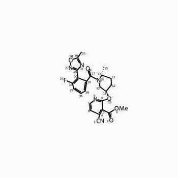 COC(=O)c1c(C#N)ccnc1O[C@@H]1CC[C@@H](C)N(C(=O)c2cccc(F)c2-c2noc(C)n2)C1